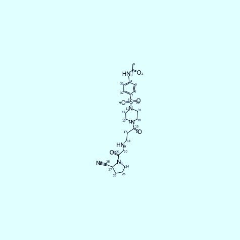 CC(=O)Nc1ccc(S(=O)(=O)N2CCN(C(=O)CCNCC(=O)N3CCCC3C#N)CC2)cc1